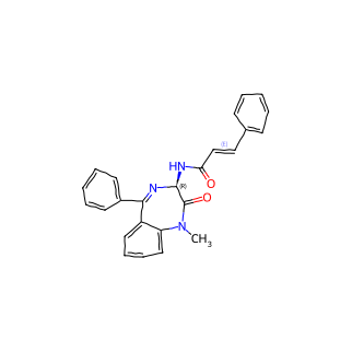 CN1C(=O)[C@H](NC(=O)/C=C/c2ccccc2)N=C(c2ccccc2)c2ccccc21